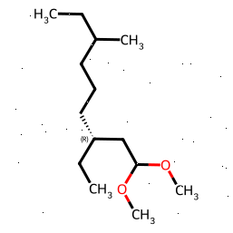 CCC(C)CCC[C@@H](CC)CC(OC)OC